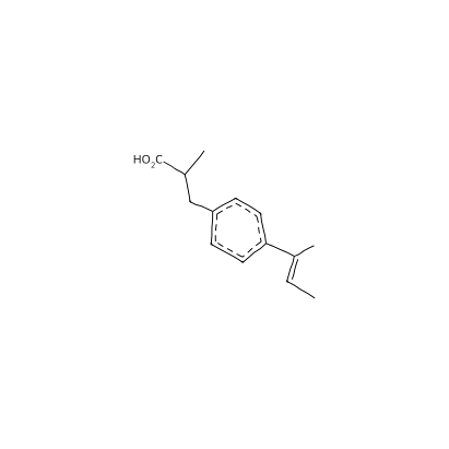 C/C=C(\C)c1ccc(CC(C)C(=O)O)cc1